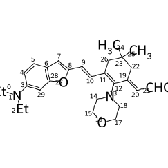 CCN(CC)c1ccc2cc(C=CC3=C(N4CCOCC4)C(=CC=O)CC(C)(C)C3)oc2c1